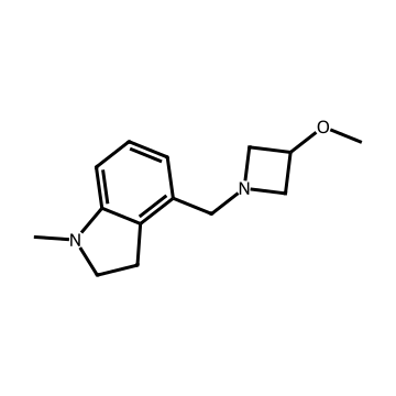 COC1CN(Cc2cccc3c2CCN3C)C1